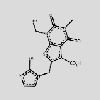 CC(C)Cn1c(=O)n(C)c(=O)c2c(C(=O)O)c(Cn3ccnc3C(C)C)sc21